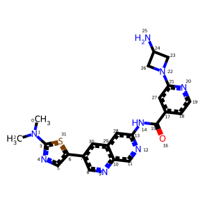 CN(C)c1ncc(-c2cnc3cnc(NC(=O)c4ccnc(N5CC(N)C5)c4)cc3c2)s1